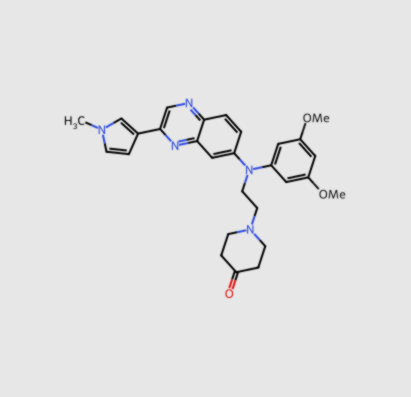 COc1cc(OC)cc(N(CCN2CCC(=O)CC2)c2ccc3ncc(-c4ccn(C)c4)nc3c2)c1